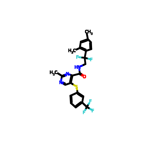 Cc1ccc(C(F)(F)CNC(=O)c2nc(C)ncc2Sc2cccc(C(F)(F)F)c2)c(C)c1